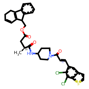 C[C@@H](CC(=O)OCC1C2=C(CCC=C2)c2ccccc21)C(=O)NC1CCN(C(=O)/C=C/c2cc3ccsc3c(Cl)c2Cl)CC1